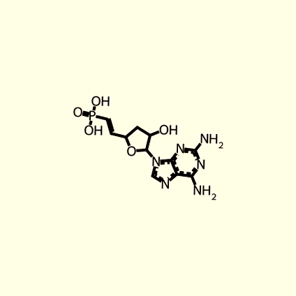 Nc1nc(N)c2ncn(C3OC(C=CP(=O)(O)O)CC3O)c2n1